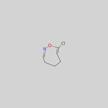 Cl/C1=C\CCC/C=N\O1